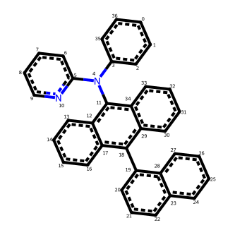 c1ccc(N(c2ccccn2)c2c3ccccc3c(-c3cccc4ccccc34)c3ccccc23)cc1